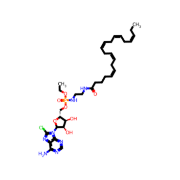 CC/C=C\C/C=C\C/C=C\C/C=C\C/C=C\CCCC(=O)NCCNP(=O)(OCC)OC[C@H]1OC(n2c(Cl)nc3c(N)ncnc32)[C@H](O)[C@@H]1O